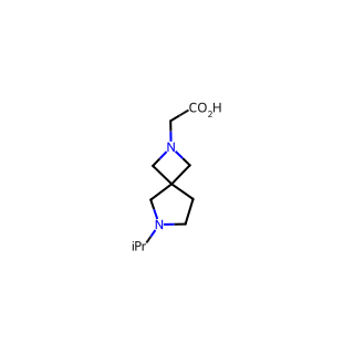 CC(C)N1CCC2(CN(CC(=O)O)C2)C1